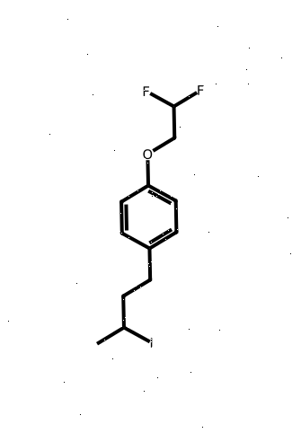 CC(I)CCc1ccc(OCC(F)F)cc1